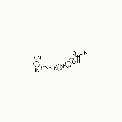 CN(C)CCNC(=O)c1cc2cc(N3CCN(CCCCc4c[nH]c5ccc(C#N)cc45)CC3)ccc2o1